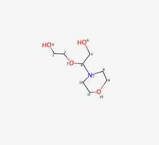 OCCOC(CO)N1CCOCC1